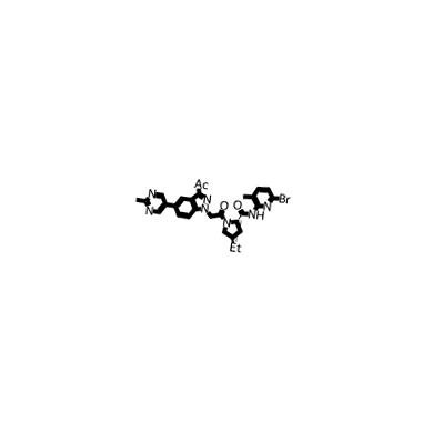 CC[C@@H]1C[C@@H](C(=O)Nc2nc(Br)ccc2C)N(C(=O)Cn2nc(C(C)=O)c3cc(-c4cnc(C)nc4)ccc32)C1